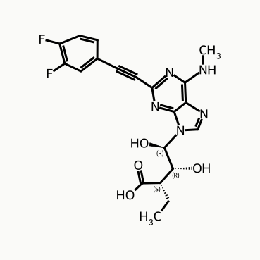 CC[C@H](C(=O)O)[C@@H](O)[C@@H](O)n1cnc2c(NC)nc(C#Cc3ccc(F)c(F)c3)nc21